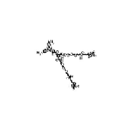 NC1CCN(c2nc(N3CCC(N)CC3)nc(N3CCC(C(=O)Nc4cc(C(=O)NCCCOCCOCCOCCCNC(=O)CCCCC5SCC6NC(=O)NC65)cc(C(=O)NCCCOCCOCCOCCCNC(=O)CCCCC5SCC6NC(=O)NC65)c4)CC3)n2)CC1